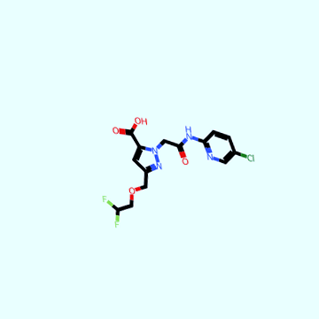 O=C(Cn1nc(COCC(F)F)cc1C(=O)O)Nc1ccc(Cl)cn1